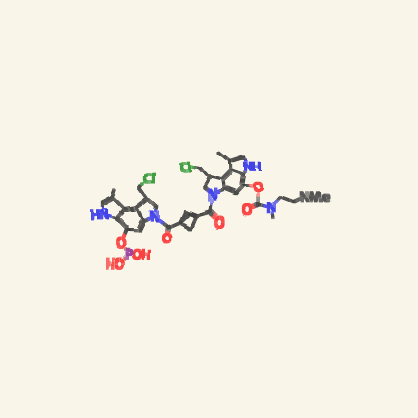 CNCCN(C)C(=O)Oc1cc2c(c3c(C)c[nH]c13)C(CCl)CN2C(=O)C12CC(C(=O)N3CC(CCl)c4c3cc(OP(O)O)c3[nH]cc(C)c43)(C1)C2